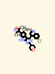 COc1cc2c(cc1-c1c(C)noc1C)[nH]c1nc(C3CCOCC3)nc(-c3ccnc4ccc(Cl)cc34)c12